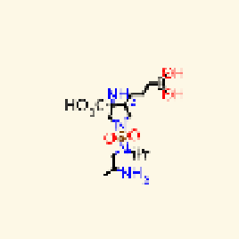 CC(N)CN(C(C)C)S(=O)(=O)N1C[C@H](CCCB(O)O)[C@](N)(C(=O)O)C1